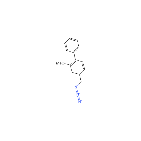 COC1=C(c2ccccc2)C=CC(CN=[N+]=[N-])C1